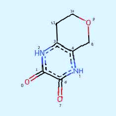 O=c1[nH]c2c([nH]c1=O)COCC2